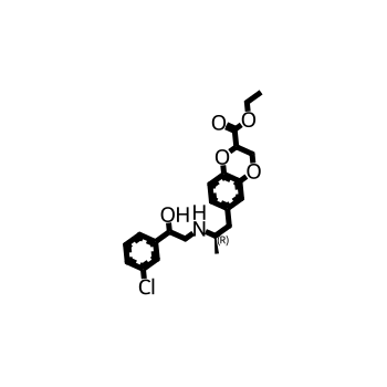 CCOC(=O)C1COc2cc(C[C@@H](C)NCC(O)c3cccc(Cl)c3)ccc2O1